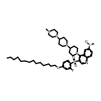 CCCCCCCCCCCCCCOc1ccc(S(=O)(=O)c2cnc3ccc([S+](C)[O-])cc3c2N2CCC(N3CCC(N4CCN(C)CC4)CC3)CC2)c(F)c1